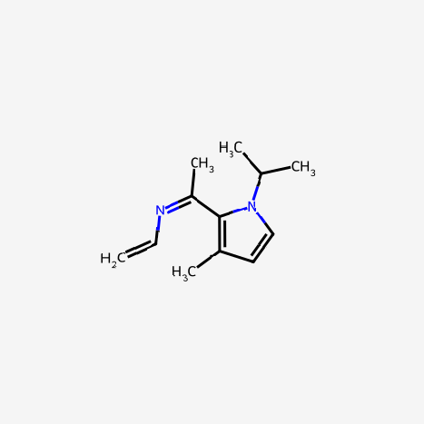 C=C/N=C(/C)c1c(C)ccn1C(C)C